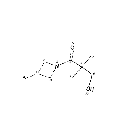 CC1CN(C(=O)C(C)(C)CO)C1